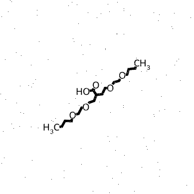 CCCCOCCOCCC(CCOCCOCCCC)C(=O)O